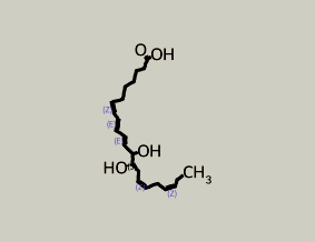 CC/C=C\C/C=C\C[C@H](O)C(O)/C=C/C=C/C=C\CCCCCC(=O)O